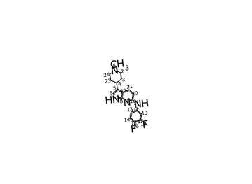 CN1CCC(c2c[nH]c3nc(Nc4ccc(F)c(F)c4)ccc23)CC1